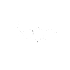 Cc1c(C)c([N+](=O)[O-])c(C)c2c1OC(C)(CO)C2